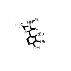 C=C1SC(c2ccc(O)c(C(C)(C)C)c2C(C)(C)C)C(=O)N1NCC